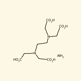 O=C(O)CN(CCN(CC(=O)O)CC(=O)O)CC(=O)O.[AlH3]